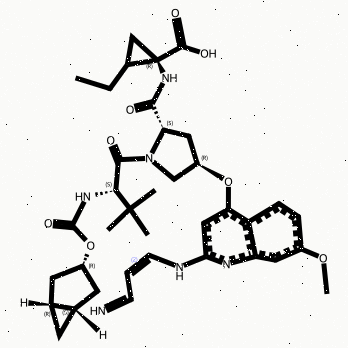 CCC1C[C@]1(NC(=O)[C@@H]1C[C@@H](Oc2cc(N/C=C\C=N)nc3cc(OC)ccc23)CN1C(=O)[C@@H](NC(=O)O[C@@H]1C[C@@H]2C[C@@H]2C1)C(C)(C)C)C(=O)O